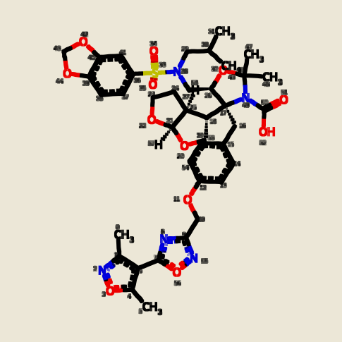 Cc1noc(C)c1-c1nc(COc2ccc(C[C@]3([C@@H]4CO[C@H]5OCC[C@H]54)[C@@H](CN(CC(C)C)S(=O)(=O)c4ccc5c(c4)OCO5)OC(C)(C)N3C(=O)O)cc2)no1